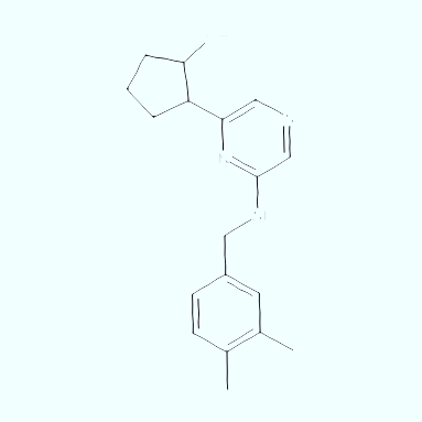 Cc1ccc(CNc2cncc(C3CCCC3O)n2)cc1C